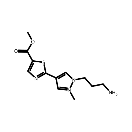 COC(=O)c1cnc(-c2cn(CCCN)[n+](C)c2)s1